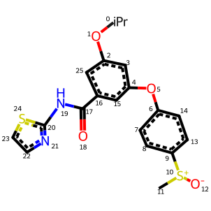 CC(C)Oc1cc(Oc2ccc([S+](C)[O-])cc2)cc(C(=O)Nc2nccs2)c1